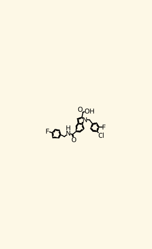 O=C(NCc1ccc(F)cc1)c1ccc2c(c1)cc(C(=O)O)n2Cc1ccc(Cl)c(F)c1